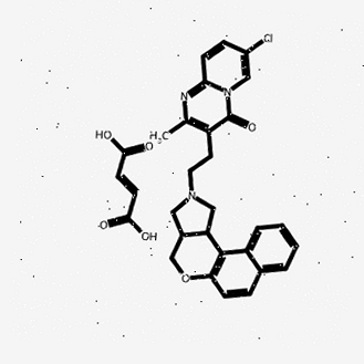 Cc1nc2ccc(Cl)cn2c(=O)c1CCN1CC2COc3ccc4ccccc4c3C2C1.O=C(O)C=CC(=O)O